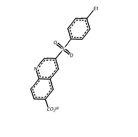 CCc1ccc(S(=O)(=O)c2cnc3ccc(C(=O)O)cc3c2)cc1